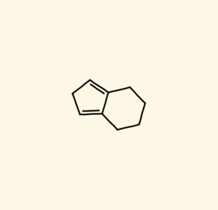 C1=C2CCCCC2=CC1